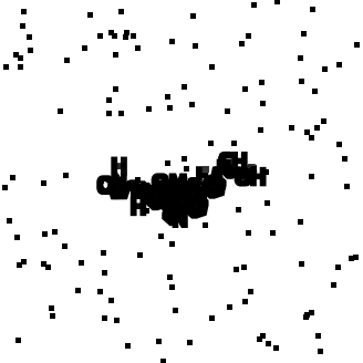 COc1nc(-c2ccnc(-c3cccc(Nc4cccc(CN(C)CCO)c4F)c3Cl)c2Cl)ccc1CNCC1CCC(=O)N1